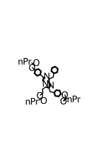 CCCC(=O)OCCc1c(Cc2ccc(OC(=O)CCC)cc2)nc2c(Cc3ccccc3)nc(-c3ccc(OC(=O)CCC)cc3)cn12